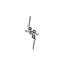 CCCCCCCCOc1ccc(C(=O)c2ccccc2C(=O)c2ccc(OCCCCCCCC)cc2O)c(O)c1